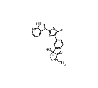 CN1CC[C@](O)(c2cccc(-c3nc(-c4c[nH]c5ncccc45)sc3F)c2)C1=O